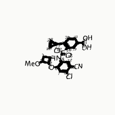 COC1CCC1Oc1cc(Cl)c(C#N)cc1NS(=O)(=O)c1cc(C(O)O)ccc1C1CC1